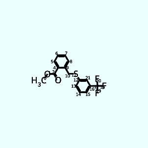 COC(=O)c1ccccc1CSc1cccc(C(F)(F)F)c1